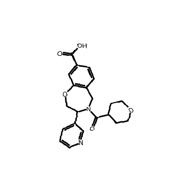 O=C(O)c1ccc2c(c1)OCC(c1cccnc1)N(C(=O)C1CCOCC1)C2